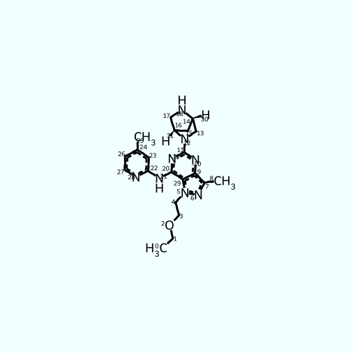 CCOCCn1nc(C)c2nc(N3C[C@@H]4C[C@H]3CN4)nc(Nc3cc(C)ccn3)c21